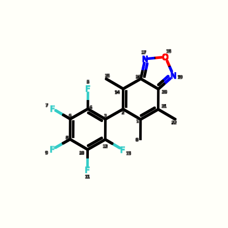 Cc1c(-c2c(F)c(F)c(F)c(F)c2F)c(C)c2nonc2c1C